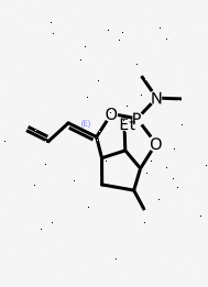 C=C/C=C1/OP(N(C)C)OC2C(C)CC1C2CC